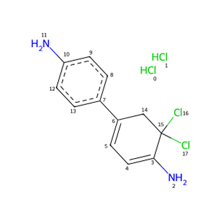 Cl.Cl.NC1=CC=C(c2ccc(N)cc2)CC1(Cl)Cl